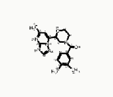 Cc1cc(C2CN(C(=O)c3ccc(P)c(C)c3)CCO2)n2ncnc2n1